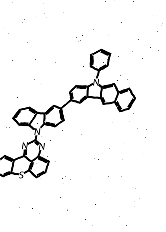 c1ccc(-n2c3ccc(-c4ccc5c(c4)c4ccccc4n5-c4nc5c6c(cccc6n4)Sc4ccccc4-5)cc3c3cc4ccccc4cc32)cc1